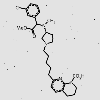 COC(=O)C(c1cccc(Cl)c1)N(C)[C@H]1CCN(CCCCCc2ccc3c(n2)N(C(=O)O)CCC3)C1